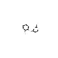 Nc1cc(O)ccc1Nc1ccnc(O)n1